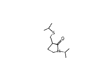 CC(C)SCC1CCN(C(C)C)C1=O